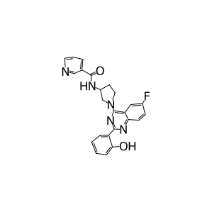 O=C(NC1CCN(c2nc(-c3ccccc3O)nc3ccc(F)cc23)C1)c1cccnc1